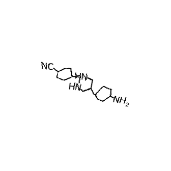 N#CC1CCC(C2NCC(C3CCC(N)CC3)CN2)CC1